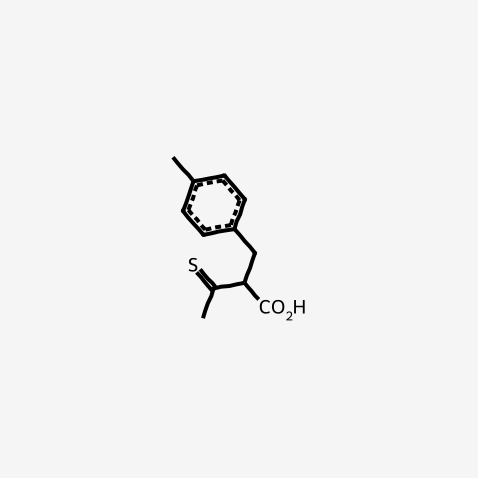 CC(=S)C(Cc1ccc(C)cc1)C(=O)O